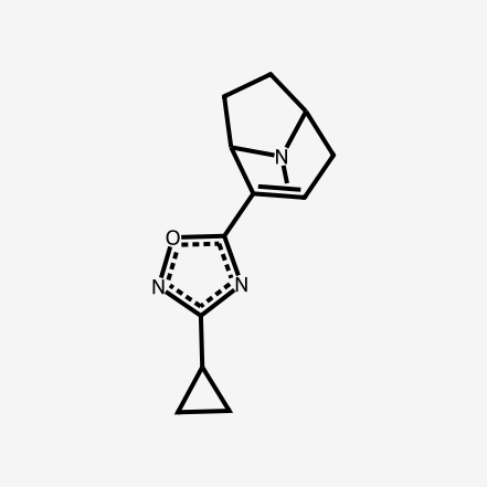 CN1C2CC=C(c3nc(C4CC4)no3)C1CC2